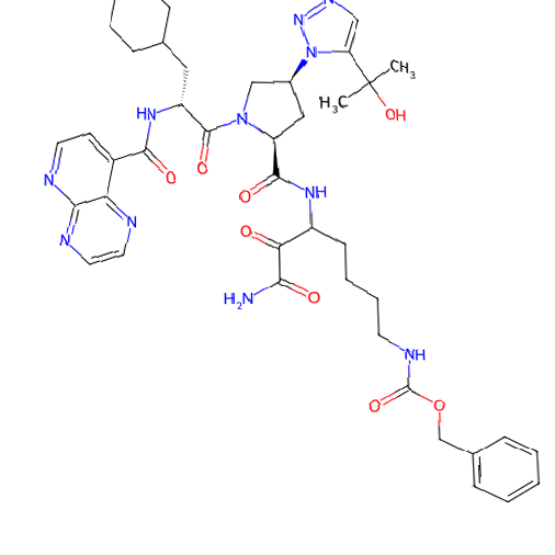 CC(C)(O)c1cnnn1[C@H]1C[C@@H](C(=O)NC(CCCCNC(=O)OCc2ccccc2)C(=O)C(N)=O)N(C(=O)[C@@H](CC2CCCCC2)NC(=O)c2ccnc3nccnc23)C1